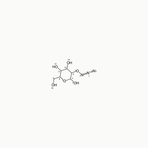 [N-]=[N+]=NOC1C(O)OC(CO)C(O)C1O